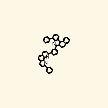 c1ccc(-c2ccc3ccc4ccc(-c5cccc(-c6nc7c(-c8ccccc8)cccc7c7c6ccc6ccccc67)c5)nc4c3n2)cc1